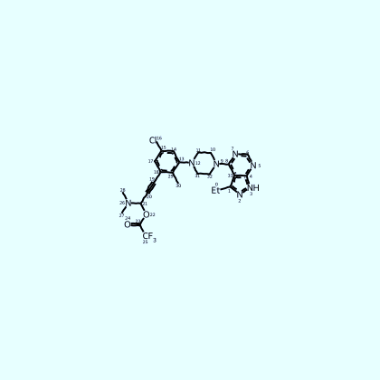 CCc1n[nH]c2ncnc(N3CCN(c4cc(Cl)cc(C#CC(OC(=O)C(F)(F)F)N(C)C)c4C)CC3)c12